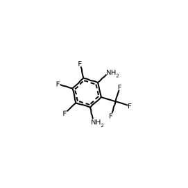 Nc1c(F)c(F)c(F)c(N)c1C(F)(F)F